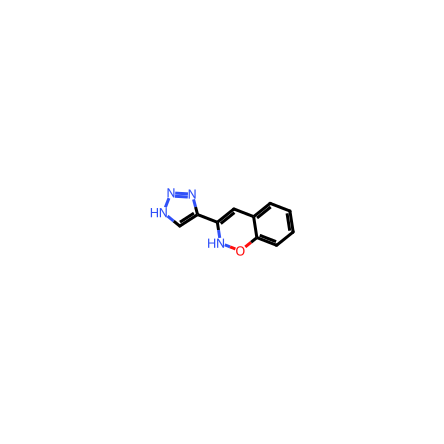 C1=C(c2c[nH]nn2)NOc2ccccc21